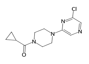 O=C(C1CC1)N1CCN(c2cncc(Cl)n2)CC1